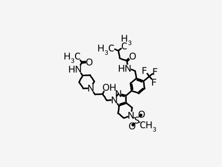 CC(=O)NC1CCN(CC(O)Cn2nc(-c3ccc(C(F)(F)F)c(CNC(=O)CC(C)C)c3)c3c2CCN(S(C)(=O)=O)C3)CC1